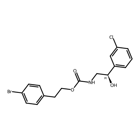 O=C(NC[C@H](O)c1cccc(Cl)c1)OCCc1ccc(Br)cc1